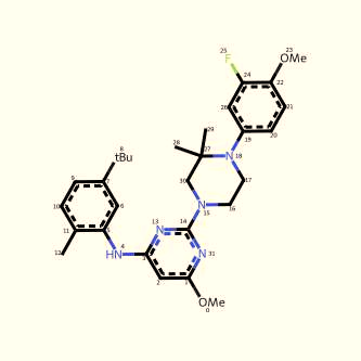 COc1cc(Nc2cc(C(C)(C)C)ccc2C)nc(N2CCN(c3ccc(OC)c(F)c3)C(C)(C)C2)n1